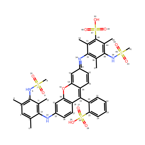 Cc1cc(C)c(NS(C)(=O)=O)c(C)c1Nc1ccc2c(-c3ccccc3S(=O)(=O)O)c3cc/c(=N\c4c(C)c(NS(C)(=O)=O)c(C)c(S(=O)(=O)O)c4C)cc-3oc2c1